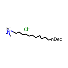 CCCCCCCCCCCCCCCCCCCCCC[N+](C)(C)CC.[Cl-]